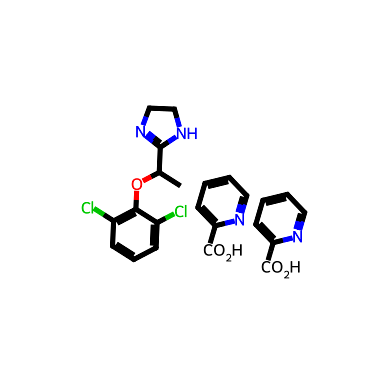 CC(Oc1c(Cl)cccc1Cl)C1=NCCN1.O=C(O)c1ccccn1.O=C(O)c1ccccn1